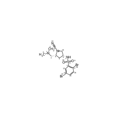 CN(C)C[C@H]1C[C@@H](NS(=O)(=O)c2cc(Br)ccc2Br)CN1C#N